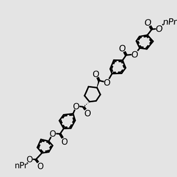 CCCOC(=O)c1ccc(OC(=O)c2ccc(OC(=O)[C@H]3CC[C@H](C(=O)Oc4ccc(C(=O)Oc5ccc(C(=O)OCCC)cc5)cc4)CC3)cc2)cc1